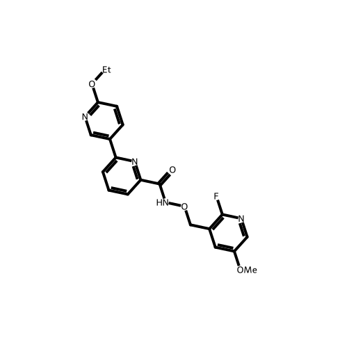 CCOc1ccc(-c2cccc(C(=O)NOCc3cc(OC)cnc3F)n2)cn1